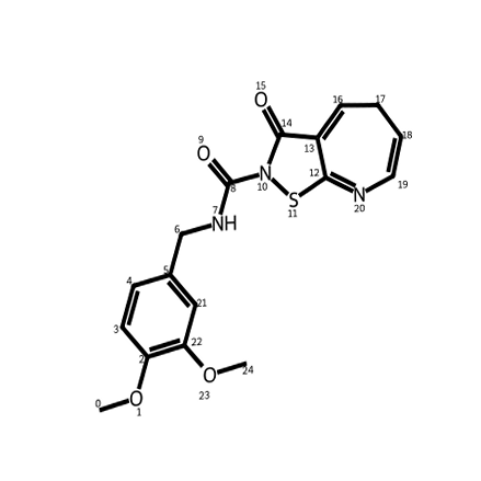 COc1ccc(CNC(=O)n2sc3c(c2=O)=CCC=CN=3)cc1OC